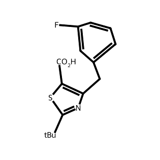 CC(C)(C)c1nc(Cc2cccc(F)c2)c(C(=O)O)s1